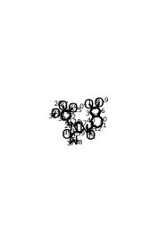 COc1cc2c(cc1OC)CCCC(C(=O)N1CCN(Cc3cc(OC)c(OC)c(OC)c3)C(C(=O)N(C)C)C1)=C2